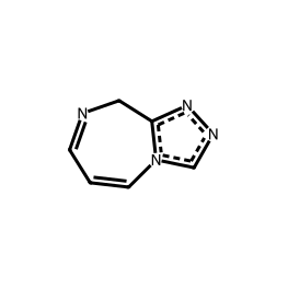 C1=Cn2cnnc2CN=C1